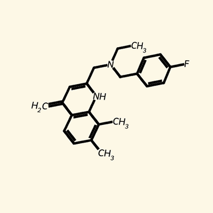 C=C1C=C(CN(CC)Cc2ccc(F)cc2)Nc2c1ccc(C)c2C